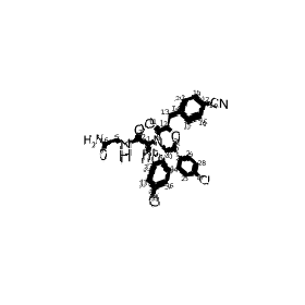 CCCC(C(=O)NCC(N)=O)N1C(=O)[C@@H](Cc2ccc(C#N)cc2)O[C@H](c2ccc(Cl)cc2)[C@@H]1c1ccc(Cl)cc1